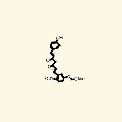 COCOc1ccc([N+](=O)[O-])c(/C=C/C(=O)CC(=O)/C=C/c2ccc(O)cc2)c1